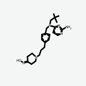 CC(C)(C)CN(Cc1ccc(CCCN2CCC(=NO)CC2)cc1)c1ccnc(N)n1